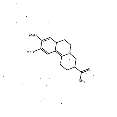 COC1=CC2=C3CCC(C(N)=O)CN3CCC2C=C1OC